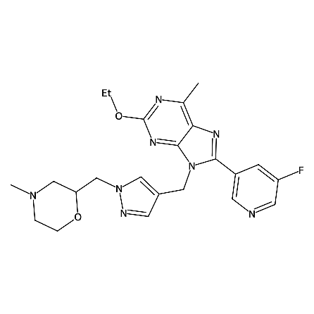 CCOc1nc(C)c2nc(-c3cncc(F)c3)n(Cc3cnn(CC4CN(C)CCO4)c3)c2n1